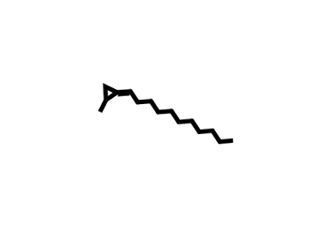 CCCCCCCCCCC=C1CC1C